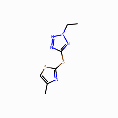 CCn1nnc(Sc2nc(C)cs2)n1